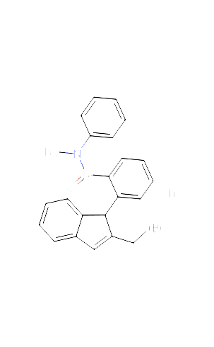 CC(C)(C)CC1=Cc2ccccc2C1c1ccccc1[Si](=O)N(c1ccccc1)C(C)(C)C.[Ti]